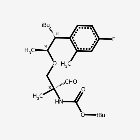 CCC(C)[C@H](c1ccc(F)cc1C)[C@H](C)OC[C@@](C)(C=O)NC(=O)OC(C)(C)C